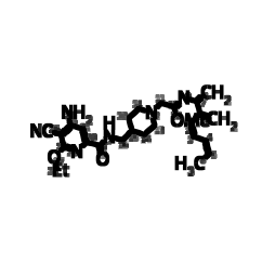 C=C(/C=C\C=C/C)C(=C)/N=C(/CN1CCC(CNC(=O)c2cc(N)c(C#N)c(OCC)n2)CC1)OC